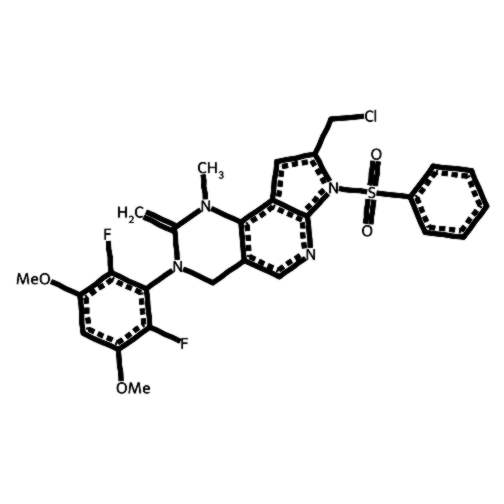 C=C1N(C)c2c(cnc3c2cc(CCl)n3S(=O)(=O)c2ccccc2)CN1c1c(F)c(OC)cc(OC)c1F